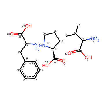 CC(C)C(N)C(=O)O.NC(Cc1ccccc1)C(=O)O.O=C(O)[C@@H]1CCCN1